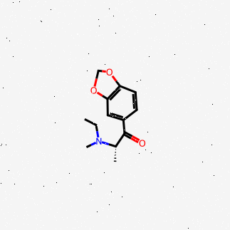 CCN(C)[C@@H](C)C(=O)c1ccc2c(c1)OCO2